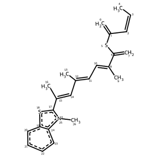 C=C(/C=C\C)SC(=C)/C(C)=C/C=C(C)/C=C(\C)c1sc2ccccc2[n+]1C